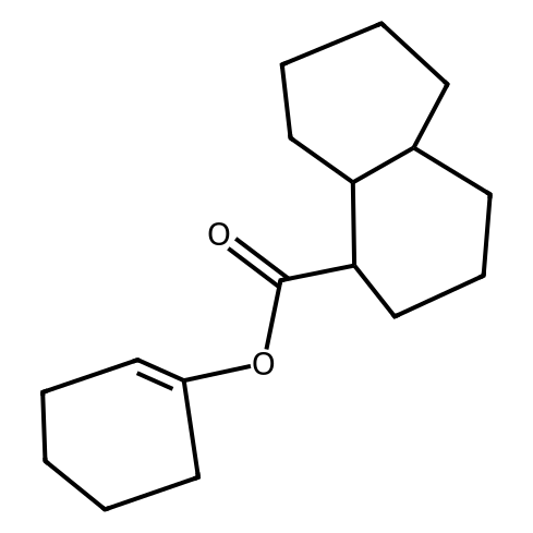 O=C(OC1=CCCCC1)C1CCCC2CCCCC21